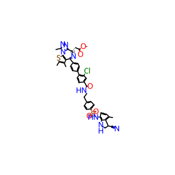 COC(=O)C[C@@H]1N=C(c2ccc(-c3ccc(C(=O)NCCc4ccc(S(=O)(=O)Nc5ccc(C)c6c5NCC6C#N)cc4)cc3Cl)cc2)c2c(sc(C)c2C)-n2c(C)nnc21